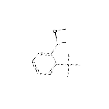 CC(C)(C)c1ccccc1C1CCO1